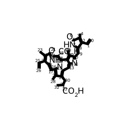 C=CC1=C(C)C(=O)N/C1=C\C1=NC(=C/c2[nH]c(/C=C3\NC(=O)C(C)=C3C=C)c(C)c2C[C@@H](C)C(=O)O)/C(C[C@H](C)C(=O)O)=C1C